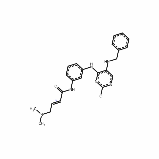 CN(C)C/C=C/C(=O)Nc1cccc(Nc2nc(Cl)ncc2NCc2ccccc2)c1